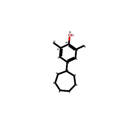 Cc1cc(C2CCCCCC2)cc(C)c1O